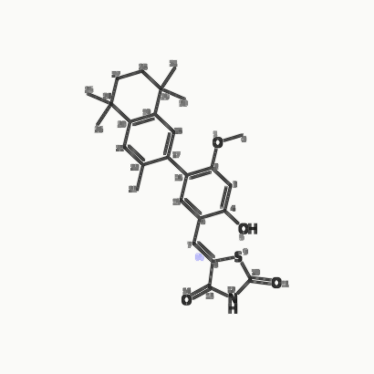 COc1cc(O)c(/C=C2\SC(=O)NC2=O)cc1-c1cc2c(cc1C)C(C)(C)CCC2(C)C